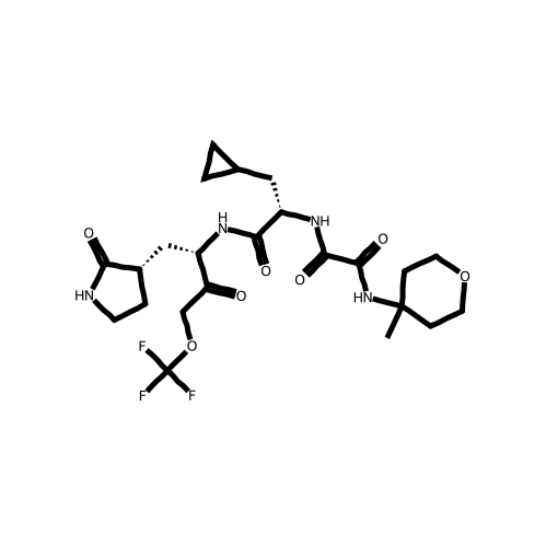 CC1(NC(=O)C(=O)N[C@@H](CC2CC2)C(=O)N[C@@H](C[C@@H]2CCNC2=O)C(=O)COC(F)(F)F)CCOCC1